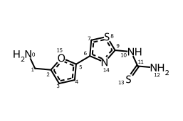 NCc1ccc(-c2csc(NC(N)=S)n2)o1